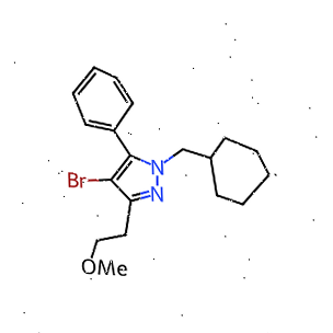 COCCc1nn(CC2CC[CH]CC2)c(-c2ccccc2)c1Br